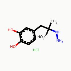 CC(Cc1ccc(O)c(O)c1)(NN)C(=O)O.Cl